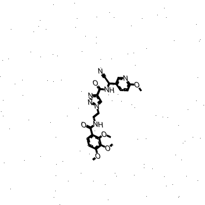 COc1ccc(C(C#N)NC(=O)c2cn(CCNC(=O)c3ccc(OC)c(OC)c3OC)nn2)cn1